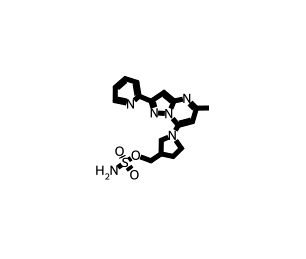 Cc1cc(N2CCC(COS(N)(=O)=O)C2)n2nc(-c3ccccn3)cc2n1